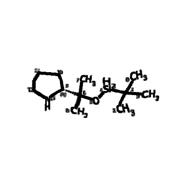 CC(C)(C)[SiH2]OC(C)(C)[C@H]1CCCN1